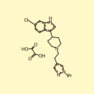 CC(C)n1cc(CCN2CCC(c3c[nH]c4cc(Cl)ccc34)CC2)cn1.O=C(O)C(=O)O